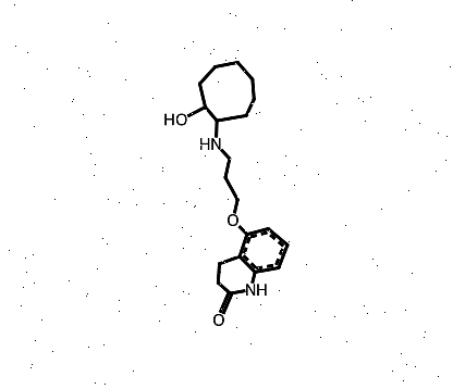 O=C1CCc2c(cccc2OCCCNC2CCCCCCC2O)N1